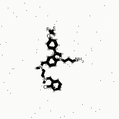 CN(CCN(C)Cc1ccccc1Cl)Cc1ccc2c(c1)c(-c1ccc(OC(F)(F)F)cc1)cn2CCCN